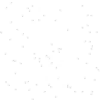 c1ccc2c(c#1)-c1c(N(C3=CC(c4ccc5ccccc5c4)=CCC3)c3ccccc3)cccc1C2(C1=CCCC=C1)c1ccccc1